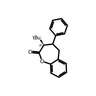 CC(C)(C)[C@@H]1C(=O)Oc2ccccc2CC1c1ccccc1